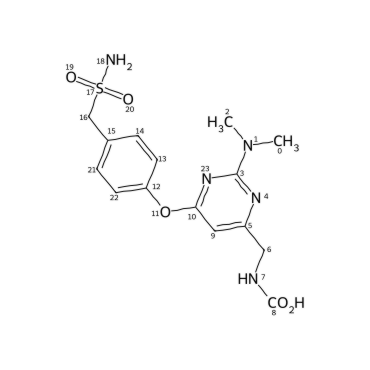 CN(C)c1nc(CNC(=O)O)cc(Oc2ccc(CS(N)(=O)=O)cc2)n1